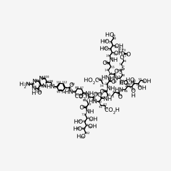 CCC(=O)OCCSSC[C@@H](NC(=O)[C@H](CCC(=O)NC[C@H](O)[C@@H](O)[C@H](O)[C@H](O)CO)NC(=O)[C@@H](CCC(=O)O)NC(=O)[C@H](CCC(=O)NC[C@H](O)[C@@H](O)[C@H](O)[C@H](O)CO)NC(=O)[C@@H](CCC(=O)O)NC(=O)[C@H](CCC(=O)NC[C@H](O)[C@@H](O)[C@H](O)[C@H](O)CO)NC(=O)CC[C@H](NC(=O)c1ccc(NCc2cnc3nc(N)[nH]c(=O)c3n2)cc1)C(=O)O)C(=O)O